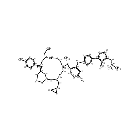 C[C@H]1CN[C@H](CO)CN[C@@]2(Cc3ccc(Cl)cc3)CCCN(C[C@H](CC3CC3)CCN1Cc1ccc(Cl)cc1Oc1ccc(-c3cnc(CN(C)C)n3C)cc1)C2